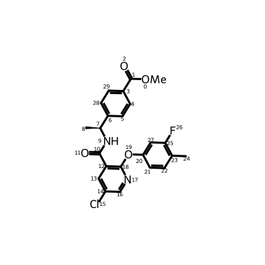 COC(=O)c1ccc([C@H](C)NC(=O)c2cc(Cl)cnc2Oc2ccc(C)c(F)c2)cc1